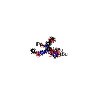 CO[C@@H](C)c1ncc(N2CCN(C(=O)OCc3ccccc3)CC2)cc1-c1c(CC(C)(C)COC(=O)[C@H]2CCCN(C(=O)OC(C)(C)C)N2C(=O)OC(C)(C)C)c2cc(B3OC(C)(C)C(C)(C)O3)ccc2n1CCOC(C)C